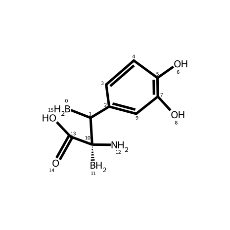 BC(c1ccc(O)c(O)c1)[C@@](B)(N)C(=O)O